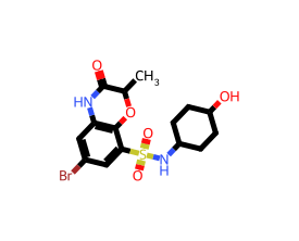 CC1Oc2c(cc(Br)cc2S(=O)(=O)NC2CCC(O)CC2)NC1=O